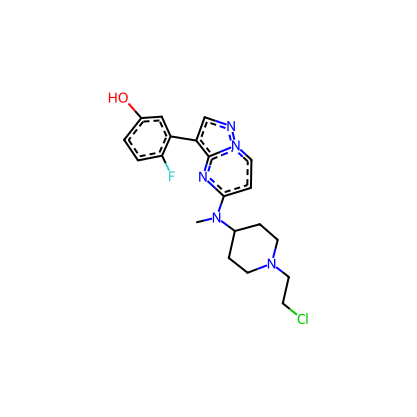 CN(c1ccn2ncc(-c3cc(O)ccc3F)c2n1)C1CCN(CCCl)CC1